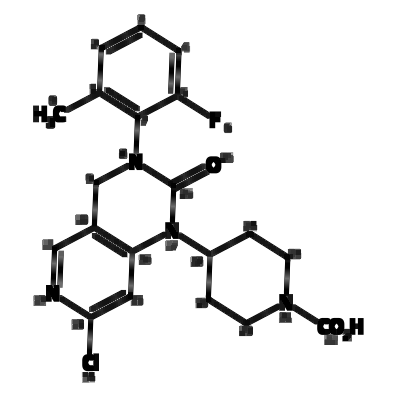 Cc1cccc(F)c1N1Cc2cnc(Cl)cc2N(C2CCN(C(=O)O)CC2)C1=O